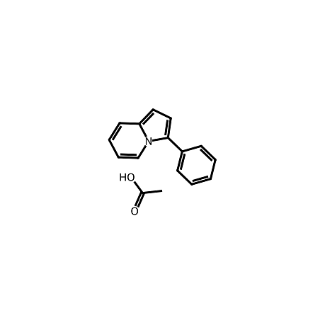 CC(=O)O.c1ccc(-c2ccc3ccccn23)cc1